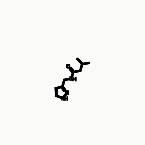 CC(C)CC(=O)NCc1cc[nH]n1